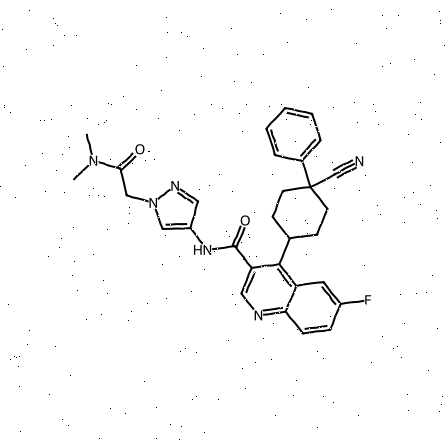 CN(C)C(=O)Cn1cc(NC(=O)c2cnc3ccc(F)cc3c2C2CCC(C#N)(c3ccccc3)CC2)cn1